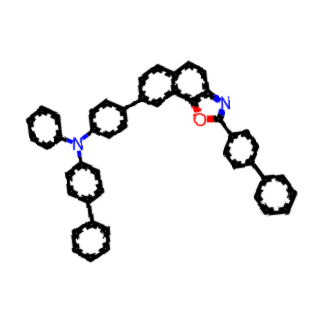 c1ccc(-c2ccc(-c3nc4ccc5ccc(-c6ccc(N(c7ccccc7)c7ccc(-c8ccccc8)cc7)cc6)cc5c4o3)cc2)cc1